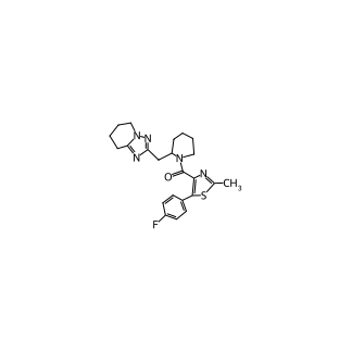 Cc1nc(C(=O)N2CCCCC2Cc2nc3n(n2)CCCC3)c(-c2ccc(F)cc2)s1